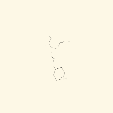 CCOP(OCC)OCOC1CCNCC1